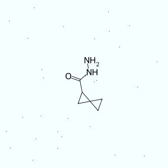 NNC(=O)C1CC12CC2